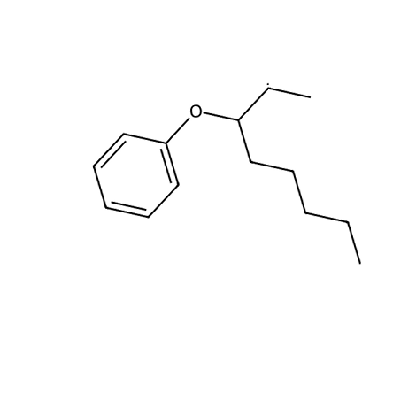 C[CH]C(CCCCC)Oc1ccccc1